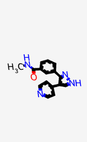 CNC(=O)c1cccc(-c2n[nH]cc2-c2ccncc2)c1